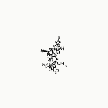 CC(Cc1sc2c(N(Cc3cccs3)C(=O)O)nc(C#N)nc2c1Br)NC(=O)OC(C)(C)C